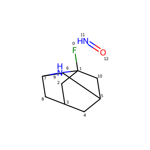 FC12CC3CC(CC(C3)N1)C2.N=O